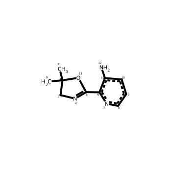 CC1(C)CN=C(c2ncccc2N)O1